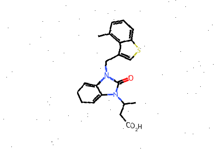 Cc1cccc2scc(Cn3c4c(n(C(C)CC(=O)O)c3=O)=CCCC=4)c12